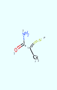 CC=S.N[C]=O